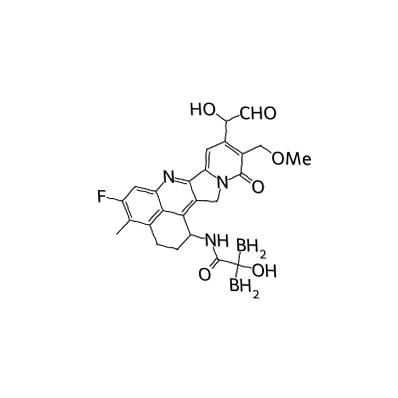 BC(B)(O)C(=O)NC1CCc2c(C)c(F)cc3nc4c(c1c23)Cn1c-4cc(C(O)C=O)c(COC)c1=O